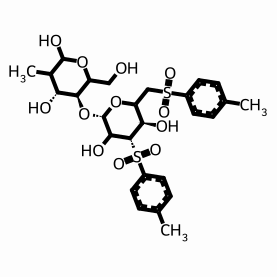 Cc1ccc(S(=O)(=O)CC2O[C@@H](O[C@@H]3C(CO)OC(O)C(C)[C@H]3O)C(O)[C@@H](S(=O)(=O)c3ccc(C)cc3)[C@@H]2O)cc1